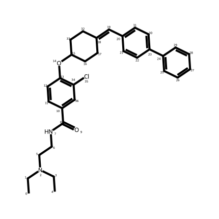 CCN(CC)CCNC(=O)c1ccc(OC2CCC(=Cc3ccc(-c4ccccc4)cc3)CC2)c(Cl)c1